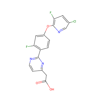 O=C(O)Cc1ccnc(-c2ccc(Oc3ncc(Cl)cc3F)cc2F)n1